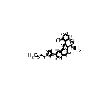 CSCCn1cc(-c2cnc3ccn4c(C(N)=O)c(-c5c(Cl)cccc5Cl)nc4c3c2)cn1